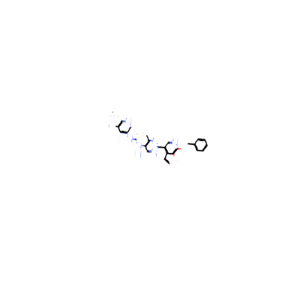 CC(=O)c1ncc(NC(=O)Nc2cnc(-c3cnc(OCc4ccccc4)c4occc34)nc2C)cc1C(F)(F)F